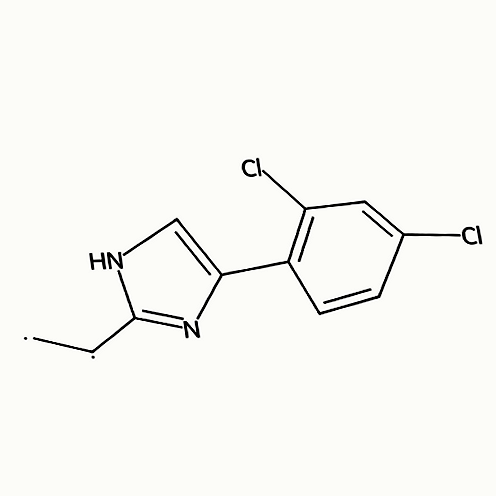 [CH2][CH]c1nc(-c2ccc(Cl)cc2Cl)c[nH]1